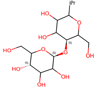 CC(C)C1OC(CO)[C@@H](O[C@@H]2OC(CO)[C@@H](O)C(O)C2O)C(O)C1O